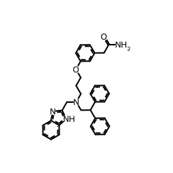 NC(=O)Cc1cccc(OCCCN(Cc2nc3ccccc3[nH]2)CC(c2ccccc2)c2ccccc2)c1